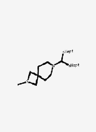 CCCCCCCC(CCCCCCC)N1CCC2(CC1)CN(C)C2